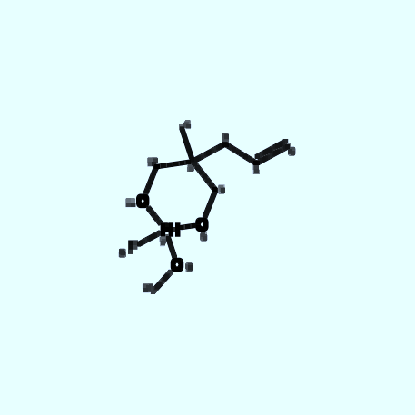 C=CCC1(C)CO[PH](F)(OC)OC1